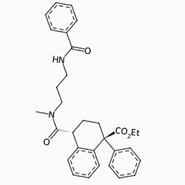 CCOC(=O)[C@]1(c2ccccc2)CC[C@@H](C(=O)N(C)CCCNC(=O)c2ccccc2)c2ccccc21